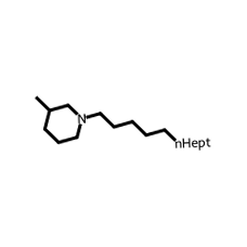 CCCCCCCCCCCCN1CCCC(C)C1